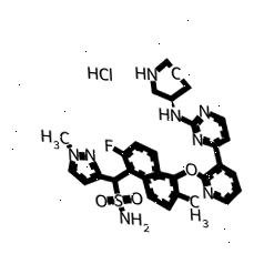 Cc1ccc2c(C(c3ccn(C)n3)S(N)(=O)=O)c(F)ccc2c1Oc1ncccc1-c1ccnc(N[C@H]2CCCNC2)n1.Cl